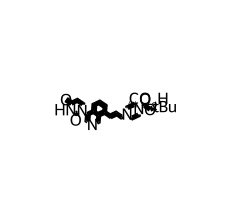 CC(C)(C)OC(=O)N1CCN(CC=Cc2cccc3c(N4CCC(=O)NC4=O)cncc23)C[C@H]1C(=O)O